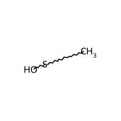 CCCCCCCCCCCCCCCCSCCCCO